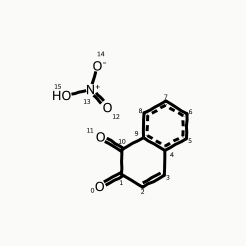 O=C1C=Cc2ccccc2C1=O.O=[N+]([O-])O